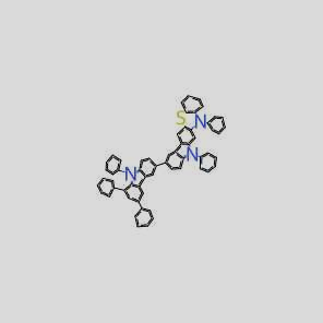 c1ccc(-c2cc(-c3ccccc3)c3c(c2)c2cc(-c4ccc5c(c4)c4cc6c(cc4n5-c4ccccc4)N(c4ccccc4)c4ccccc4S6)ccc2n3-c2ccccc2)cc1